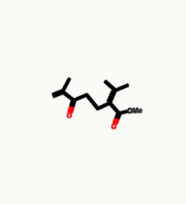 C=C(C)C(=O)CCC(C(=O)OC)=C(C)C